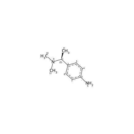 C[C@@H](c1ccc(N)cc1)N(C)C